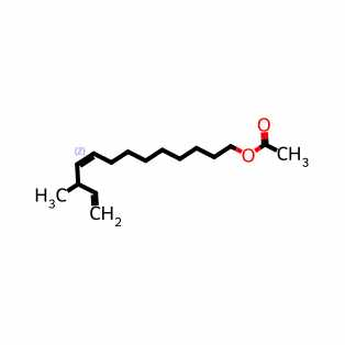 C=CC(C)/C=C\CCCCCCCCOC(C)=O